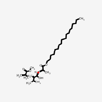 C=C(C(=O)O)C(C)C.C=C(C)C(=O)OC.C=C(C)C(=O)OCCCCCCCCCCCCCCCCCC